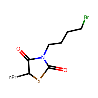 CCCC1SC(=O)N(CCCCBr)C1=O